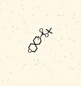 CC(C)(C)OC(=O)N1CCC2(CCOCC2)CC1